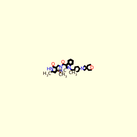 CSc1cc(C)[nH]c(=O)c1CNC(=O)c1c(C)n([C@H](C)[C@H]2CC[C@@H](N3CC4(CCOCC4)C3)CC2)c2ccccc12